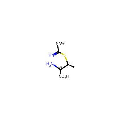 CNC(=N)S[C@@H](C)[C@H](N)C(=O)O